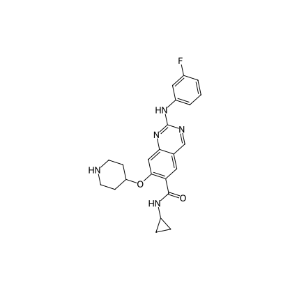 O=C(NC1CC1)c1cc2cnc(Nc3cccc(F)c3)nc2cc1OC1CCNCC1